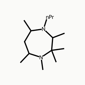 CCCN1C(C)CC(C)N(C)C(C)(C)C1C